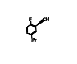 C#Cc1cc(C(C)C)ccc1F